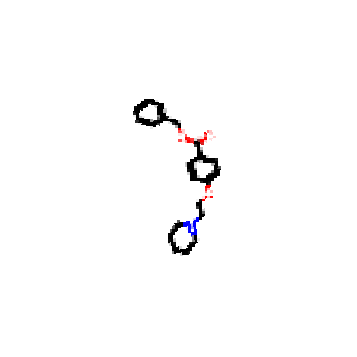 O=C(OCc1ccccc1)c1ccc(OCCN2CCCCC2)cc1